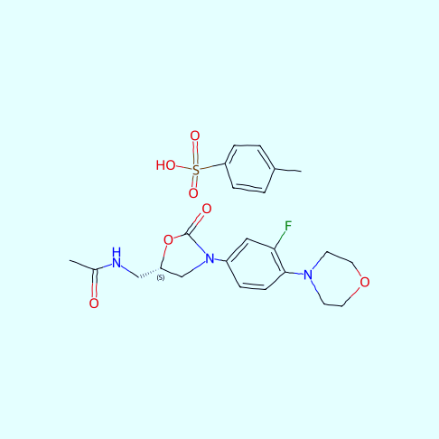 CC(=O)NC[C@H]1CN(c2ccc(N3CCOCC3)c(F)c2)C(=O)O1.Cc1ccc(S(=O)(=O)O)cc1